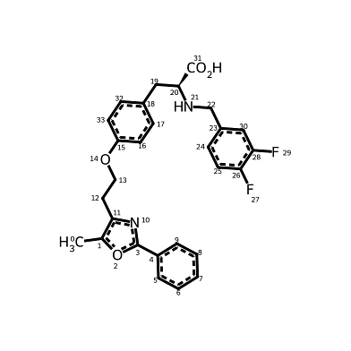 Cc1oc(-c2ccccc2)nc1CCOc1ccc(C[C@H](NCc2ccc(F)c(F)c2)C(=O)O)cc1